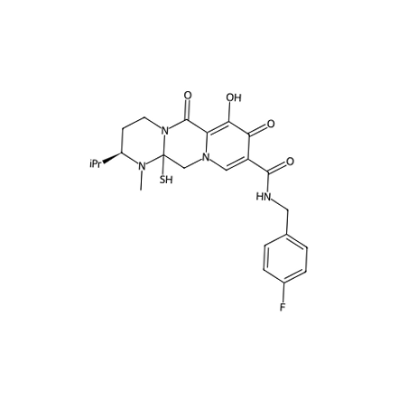 CC(C)[C@H]1CCN2C(=O)c3c(O)c(=O)c(C(=O)NCc4ccc(F)cc4)cn3CC2(S)N1C